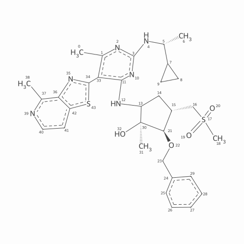 Cc1nc(N[C@H](C)C2CC2)nc(NC2C[C@H](CS(C)(=O)=O)[C@@H](OCc3ccccc3)[C@@]2(C)O)c1-c1nc2c(C)nccc2s1